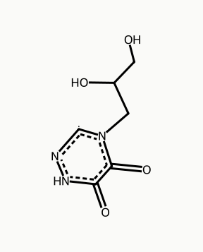 O=c1[nH]n[c]n(CC(O)CO)c1=O